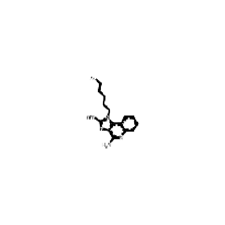 CCCc1nc2c(N)nc3ccccc3c2n1CCCCCC(C)=O